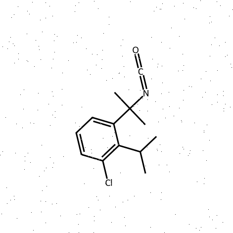 CC(C)c1c(Cl)cccc1C(C)(C)N=C=O